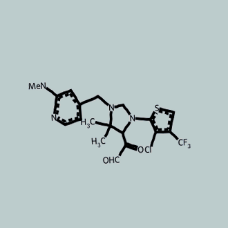 CNc1cc(CN2CN(c3scc(C(F)(F)F)c3Cl)C(C(=O)C=O)C2(C)C)ccn1